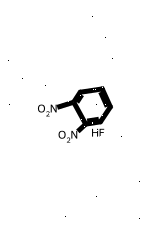 F.O=[N+]([O-])c1ccccc1[N+](=O)[O-]